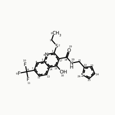 CCSc1nc2cc(C(F)(F)F)ccc2c(O)c1C(=O)NCc1cccs1